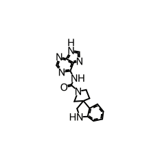 O=C(Nc1ncnc2[nH]cnc12)N1CCC2(CNc3ccccc32)C1